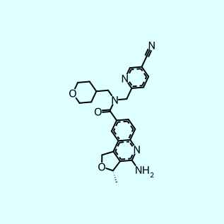 C[C@@H]1OCc2c1c(N)nc1ccc(C(=O)N(Cc3ccc(C#N)cn3)CC3CCOCC3)cc21